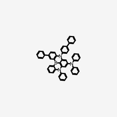 c1ccc(-c2ccc(N3c4ccc(-c5ccccc5)cc4B4c5ccccc5N(c5ccccc5)c5cc(N(c6ccccc6)c6ccccc6)cc3c54)cc2)cc1